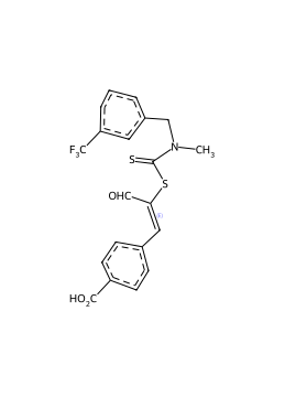 CN(Cc1cccc(C(F)(F)F)c1)C(=S)S/C(C=O)=C/c1ccc(C(=O)O)cc1